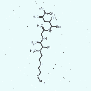 C=C(CNC(=C)C(C(C)C)N(C)CCOCCON)NC(C(C)CC)C(C)CC(=C)N(C)CCC